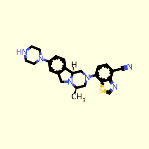 C[C@@H]1CN(c2ccc(C#N)c3ncsc23)C[C@@H]2c3ccc(N4CCNCC4)cc3CN12